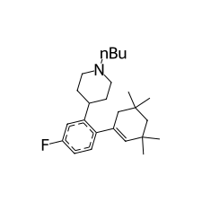 CCCCN1CCC(c2cc(F)ccc2C2=CC(C)(C)CC(C)(C)C2)CC1